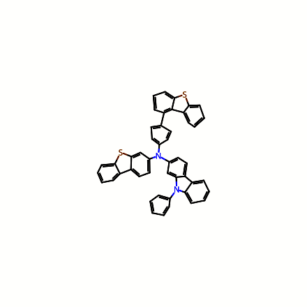 c1ccc(-n2c3ccccc3c3ccc(N(c4ccc(-c5cccc6sc7ccccc7c56)cc4)c4ccc5c(c4)sc4ccccc45)cc32)cc1